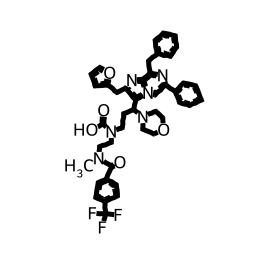 CN(CCN(CCC(c1c(Cc2ccco2)nc2c(Cc3ccccc3)nc(-c3ccccc3)cn12)N1CCOCC1)C(=O)O)C(=O)c1ccc(C(F)(F)F)cc1